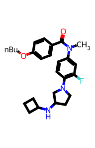 CCCCOc1ccc(C(=O)N(C)c2ccc(N3CCC(NC4CCC4)C3)c(F)c2)cc1